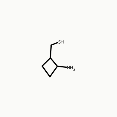 NC1CCC1CS